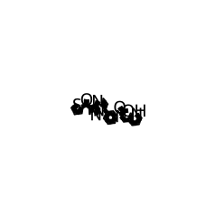 O=C(c1cccs1)c1cnn2c(-c3cccc(N(Cc4cccnc4)C(=O)O)c3)ccnc12